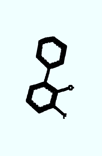 [O]c1c(F)cccc1-c1ccccc1